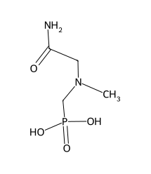 CN(CC(N)=O)CP(=O)(O)O